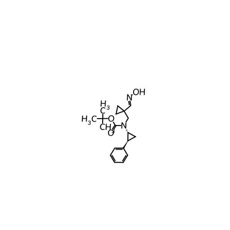 CC(C)(C)OC(=O)N(CC1(/C=N/O)CC1)[C@@H]1C[C@H]1c1ccccc1